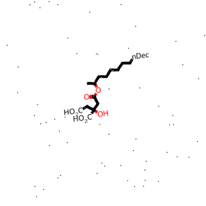 CCCCCCCCCCCCCCCCC(C)OC(=O)CC(O)(CC(=O)O)C(=O)O